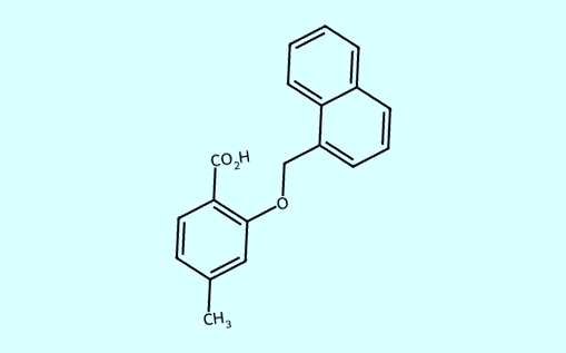 Cc1ccc(C(=O)O)c(OCc2cccc3ccccc23)c1